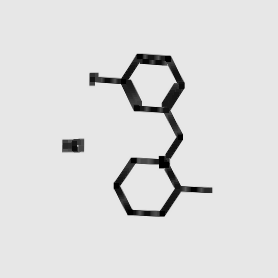 CC1CCCCN1Cc1cccc(F)c1.Cl